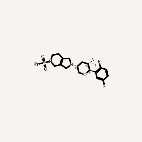 CC(C)S(=O)(=O)N1CCC2=C(CN([C@H]3CO[C@H](c4cc(F)ccc4F)[C@@H](N)C3)C2)C1